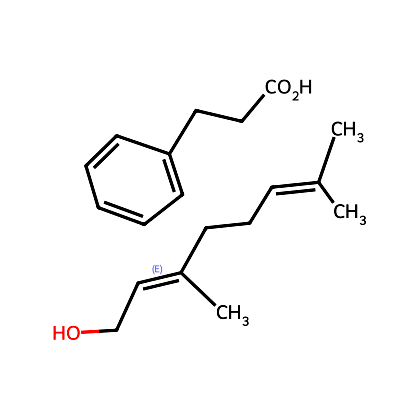 CC(C)=CCC/C(C)=C/CO.O=C(O)CCc1ccccc1